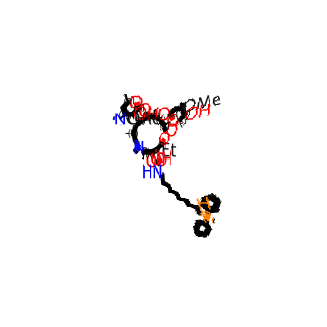 CC[C@H]1OC(=O)[C@H](C)[C@@H](O[C@H]2C[C@@](C)(OC)[C@@H](O)[C@H](C)O2)[C@H](C)[C@@H](O[C@@H]2O[C@H](C)C[C@H](N(C)C)[C@H]2OC(C)=O)[C@](C)(O)C[C@@H](C)CN(C)[C@H](C)[C@@H](OC(=O)NCCCCCCCCCC[PH](C)(c2ccccc2)c2ccccc2)[C@]1(C)O